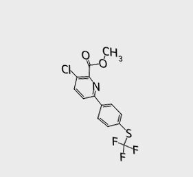 COC(=O)c1nc(-c2ccc(SC(F)(F)F)cc2)ccc1Cl